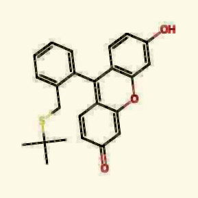 CC(C)(C)SCc1ccccc1-c1c2ccc(=O)cc-2oc2cc(O)ccc12